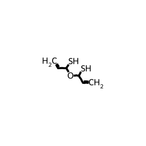 C=CC(S)OC(S)C=C